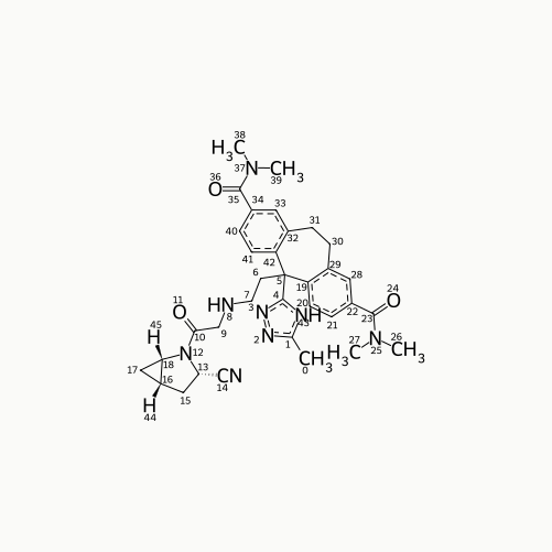 Cc1nnc(C2(CCNCC(=O)N3[C@H](C#N)C[C@@H]4C[C@@H]43)c3ccc(C(=O)N(C)C)cc3CCc3cc(C(=O)N(C)C)ccc32)[nH]1